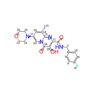 O=C(NCc1ccc(F)cc1)c1nc2c(I)cc(N3CCOCC3)cn2c(=O)c1O